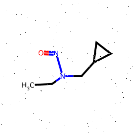 CCN(CC1CC1)N=O